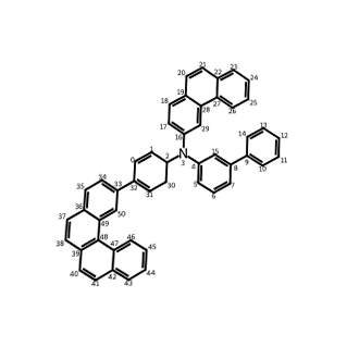 C1=CC(N(c2cccc(-c3ccccc3)c2)c2ccc3ccc4ccccc4c3c2)CC=C1c1ccc2ccc3ccc4ccccc4c3c2c1